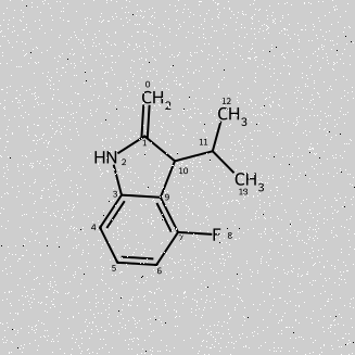 C=C1Nc2cccc(F)c2C1C(C)C